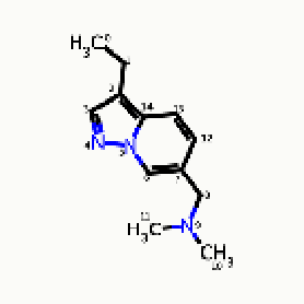 CCc1cnn2cc(CN(C)C)ccc12